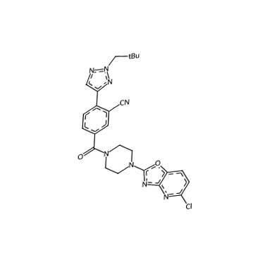 CC(C)(C)Cn1ncc(-c2ccc(C(=O)N3CCN(c4nc5nc(Cl)ccc5o4)CC3)cc2C#N)n1